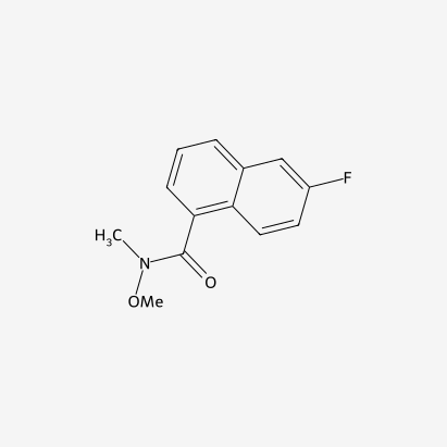 CON(C)C(=O)c1cccc2cc(F)ccc12